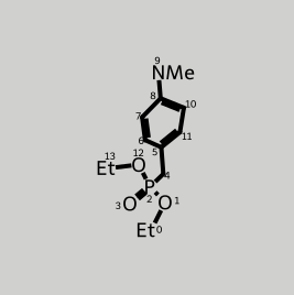 CCOP(=O)(Cc1ccc(NC)cc1)OCC